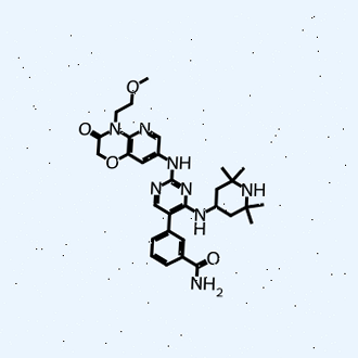 COCCN1C(=O)COc2cc(Nc3ncc(-c4cccc(C(N)=O)c4)c(NC4CC(C)(C)NC(C)(C)C4)n3)cnc21